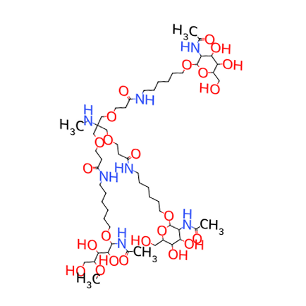 CNC(COCCC(=O)NCCCCCCOC(NC(C)=O)C(O)C(O)C(CO)OC)(COCCC(=O)NCCCCCCOC1OC(CO)C(O)C(O)C1NC(C)=O)COCCC(=O)NCCCCCCOC1OC(CO)C(O)C(O)C1NC(C)=O